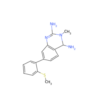 CSc1ccccc1-c1ccc2c(c1)N=C(N)N(C)C2N